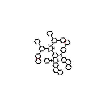 c1ccc(-c2ccc(N3c4cc5ccc6ccccc6c5cc4B4c5cc6c(ccc7ccccc76)cc5N(c5ccc(-c6ccccc6)cc5)c5cc(-c6nc(-c7cc(-c8ccccc8)cc(-c8ccccc8)c7)nc(-c7cc(-c8ccccc8)cc(-c8ccccc8)c7)n6)cc3c54)cc2)cc1